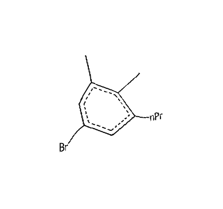 CCCc1cc(Br)cc(C)c1C